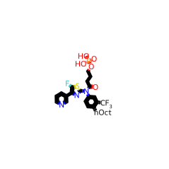 CCCCCCCCc1ccc(N(C(=O)CCCOP(=O)(O)O)c2nc(-c3cccnc3)c(F)s2)cc1C(F)(F)F